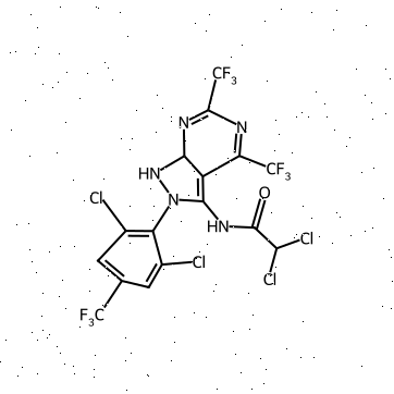 O=C(NC1=C2C(C(F)(F)F)=NC(C(F)(F)F)=NC2NN1c1c(Cl)cc(C(F)(F)F)cc1Cl)C(Cl)Cl